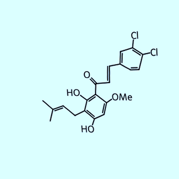 COc1cc(O)c(CC=C(C)C)c(O)c1C(=O)C=Cc1ccc(Cl)c(Cl)c1